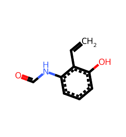 C=Cc1c(O)cccc1NC=O